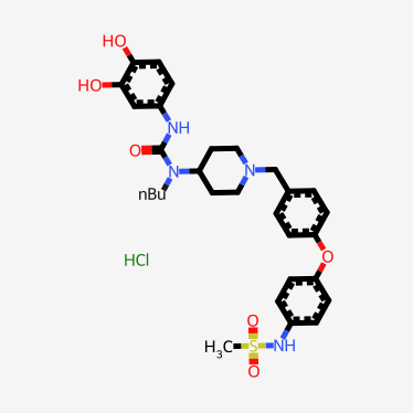 CCCCN(C(=O)Nc1ccc(O)c(O)c1)C1CCN(Cc2ccc(Oc3ccc(NS(C)(=O)=O)cc3)cc2)CC1.Cl